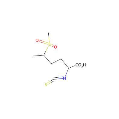 CC(CCC(N=C=S)C(=O)O)S(C)(=O)=O